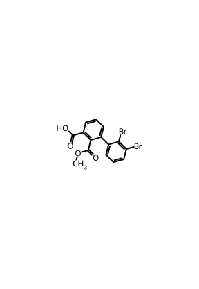 COC(=O)c1c(C(=O)O)cccc1-c1cccc(Br)c1Br